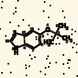 CC(C)(C)Oc1ccc2[nH]ccc2c1